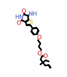 C=CCC(C)(CC)CC(=O)OCCCCOc1ccc(-c2cc3c(s2)C(=N)C(=O)NC3=O)cc1